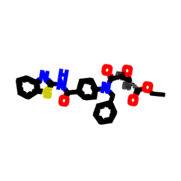 CCOC(=O)[C@H]1O[C@@H]1C(=O)N(Cc1ccccc1)c1ccc(C(=O)Nc2nc3ccccc3s2)cc1